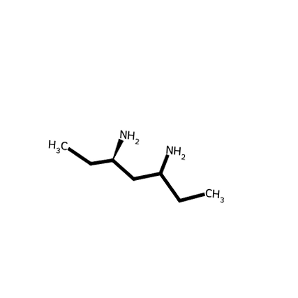 CCC(N)C[C@H](N)CC